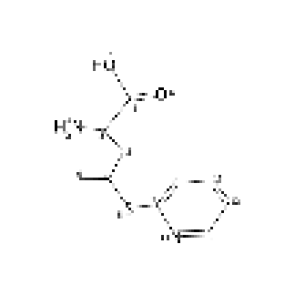 CC(CC(N)C(=O)O)Sc1ccccn1